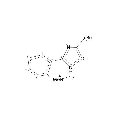 CCCCc1nc(-c2ccccc2)no1.CNC